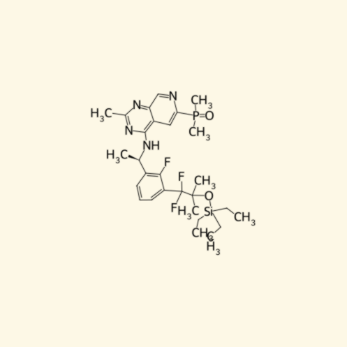 CC[Si](CC)(CC)OC(C)(C)C(F)(F)c1cccc([C@@H](C)Nc2nc(C)nc3cnc(P(C)(C)=O)cc23)c1F